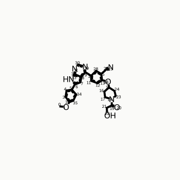 COc1ccc(-c2cc3c(-c4ccc(OC5CCN(C(=O)CO)CC5)c(C#N)c4)ncnc3[nH]2)cc1